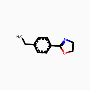 CCc1ccc(C2=NCCO2)cc1